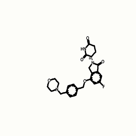 O=C1CC[C@H](N2Cc3c(OCc4ccc(CN5CCOCC5)cc4)cc(F)cc3C2=O)C(=O)N1